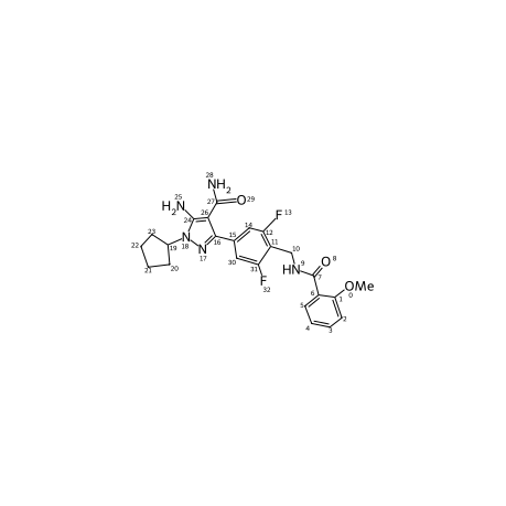 COc1ccccc1C(=O)NCc1c(F)cc(-c2nn(C3CCCC3)c(N)c2C(N)=O)cc1F